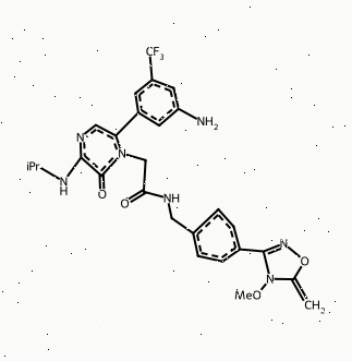 C=C1ON=C(c2ccc(CNC(=O)Cn3c(-c4cc(N)cc(C(F)(F)F)c4)cnc(NC(C)C)c3=O)cc2)N1OC